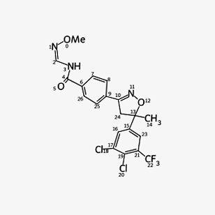 CO/N=C\NC(=O)c1ccc(C2=NOC(C)(c3cc(Cl)c(Cl)c(C(F)(F)F)c3)C2)cc1